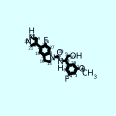 COc1cc(F)cc(C(CO)NC(=O)N2CCc3cc(-c4cn[nH]c4)c(F)cc32)c1